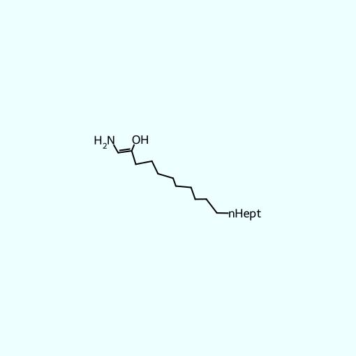 CCCCCCCCCCCCCCCCC(O)=CN